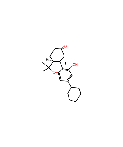 CC1(C)Oc2cc(C3CCCCC3)cc(O)c2[C@@H]2CC(=O)CC[C@@H]21